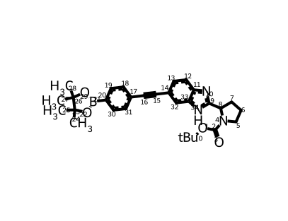 CC(C)(C)OC(=O)N1CCCC1c1nc2ccc(C#Cc3ccc(B4OC(C)(C)C(C)(C)O4)cc3)cc2[nH]1